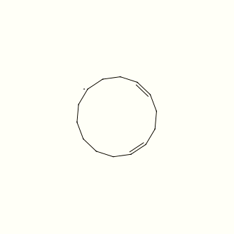 [CH]1CCC=CCCC=CCCCCC1